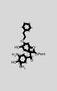 CCCCCc1oc2cc(OCCc3ccccc3)c(O)cc2c1C(=O)c1cc(N)c(O)c(N)c1